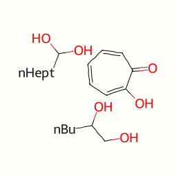 CCCCC(O)CO.CCCCCCCC(O)O.O=c1cccccc1O